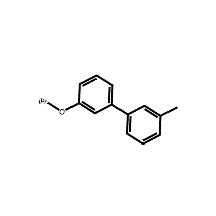 Cc1cccc(-c2cccc(OC(C)C)c2)c1